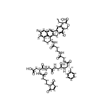 CC[C@@]1(O)C(=O)OCc2c1cc1n(c2=O)Cc2c-1nc1cc(F)c(C)c3c1c2[C@@H](NC(=O)CCNC(=O)CNC(=O)[C@H](Cc1ccccc1)NC(=O)CNC(=O)CNC(=O)[C@H](CC(=O)O)NC(=O)CCCN1C(=O)C=CC1=O)CC3